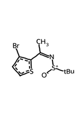 C/C(=N/[S+]([O-])C(C)(C)C)c1sccc1Br